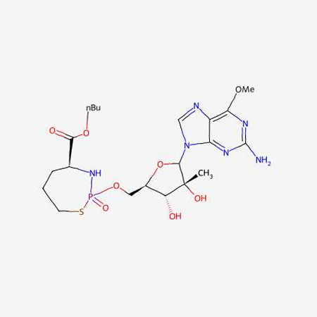 CCCCOC(=O)[C@@H]1CCCSP(=O)(OC[C@H]2OC(n3cnc4c(OC)nc(N)nc43)[C@](C)(O)[C@@H]2O)N1